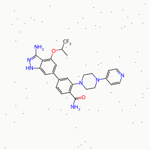 CC(Oc1cc(-c2ccc(C(N)=O)c(N3CCN(c4ccncc4)CC3)c2)cc2[nH]nc(N)c12)C(F)(F)F